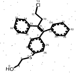 OCCSc1ccc(C(=C(CCCl)c2ccccc2)c2ccccc2)cc1